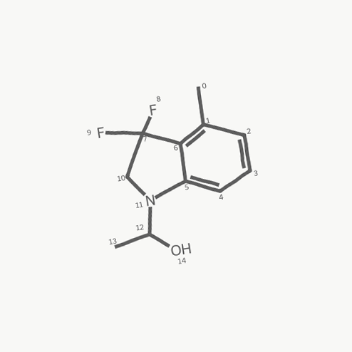 Cc1cccc2c1C(F)(F)CN2C(C)O